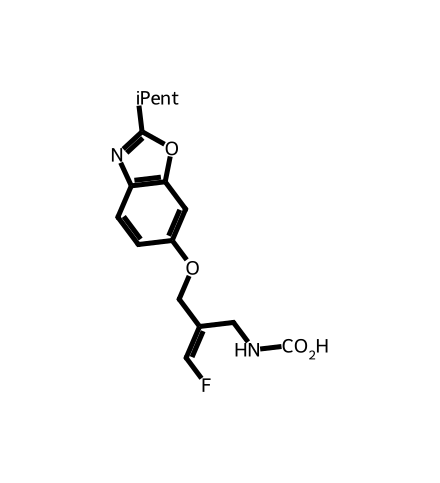 CCCC(C)c1nc2ccc(OC/C(=C/F)CNC(=O)O)cc2o1